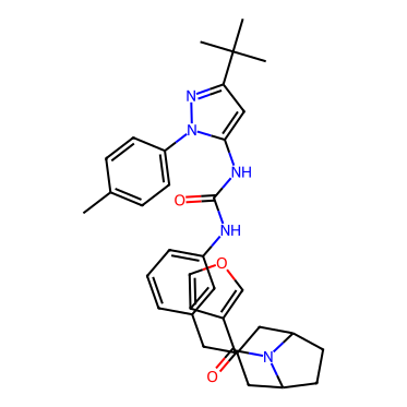 Cc1ccc(-n2nc(C(C)(C)C)cc2NC(=O)Nc2cccc(CC3CC4CCC(C3)N4C(=O)c3ccoc3)c2)cc1